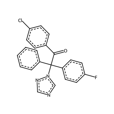 O=C(c1ccc(Cl)cc1)C(c1ccccc1)(c1ccc(F)cc1)n1cncn1